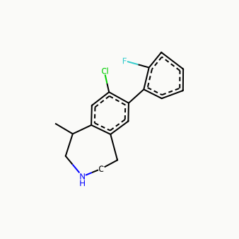 CC1CNCCc2cc(-c3ccccc3F)c(Cl)cc21